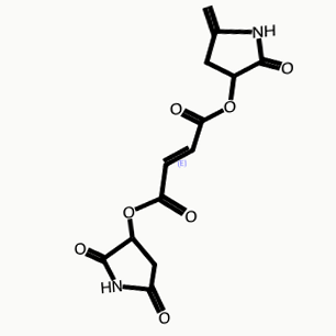 C=C1CC(OC(=O)/C=C/C(=O)OC2CC(=O)NC2=O)C(=O)N1